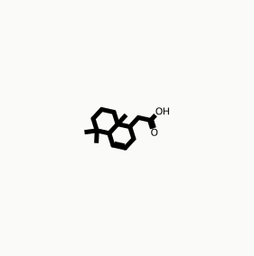 CC1(C)CCCC2(C)C(CC(=O)O)CC=CC12